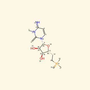 C=C1N(C)C(=N)C=CN1[C@@H]1O[C@H](CCP(=C)(C)C)[C@@H](O)[C@H]1O